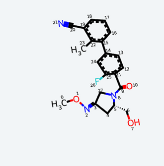 CO/N=C1/C[C@@H](CO)N(C(=O)c2ccc(-c3cccc(C#N)c3C)cc2F)C1